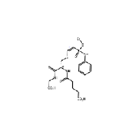 CCOP(=O)(/C=C\SC[C@H](NC(=O)CCCC(=O)O)C(=O)NCC(=O)O)Nc1ccccc1